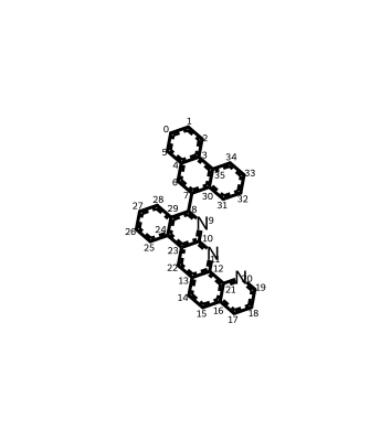 c1ccc2c(c1)cc(-c1nc3nc4c(ccc5cccnc54)cc3c3ccccc13)c1ccccc12